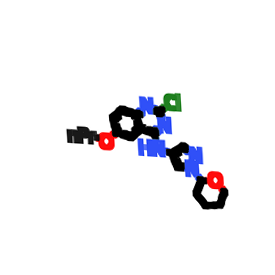 CCCOc1ccc2nc(Cl)nc(Nc3cnn(C4CCCCO4)c3)c2c1